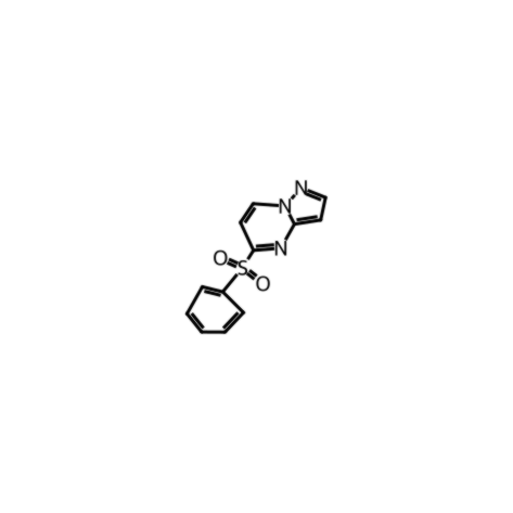 O=S(=O)(c1ccccc1)c1ccn2nccc2n1